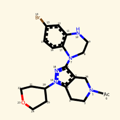 CC(=O)N1CCc2c(c(N3CCNc4cc(Br)ccc43)nn2C2CCOCC2)C1